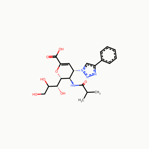 CC(C)C(=O)N[C@H]1[C@H]([C@H](O)C(O)CO)OC(C(=O)O)=C[C@@H]1n1cc(-c2ccccc2)nn1